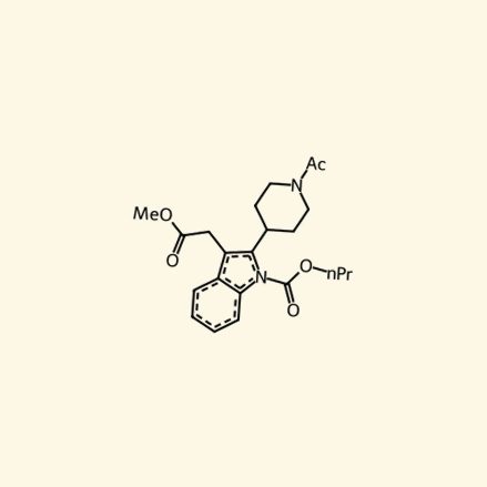 CCCOC(=O)n1c(C2CCN(C(C)=O)CC2)c(CC(=O)OC)c2ccccc21